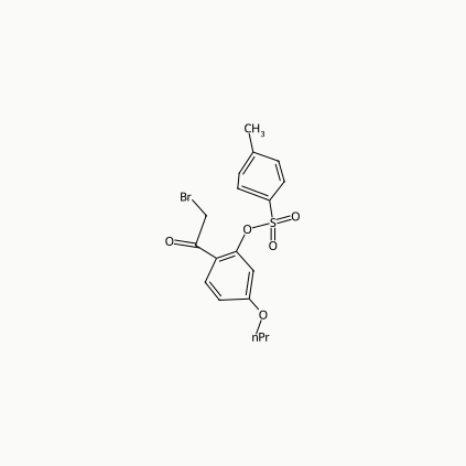 CCCOc1ccc(C(=O)CBr)c(OS(=O)(=O)c2ccc(C)cc2)c1